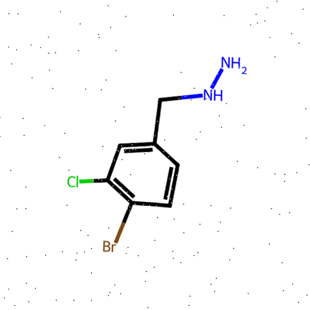 NNCc1ccc(Br)c(Cl)c1